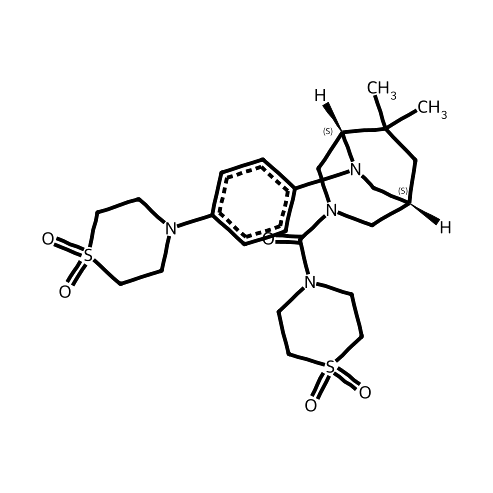 CC1(C)C[C@@H]2CN(C(=O)N3CCS(=O)(=O)CC3)C[C@H]1N(c1ccc(N3CCS(=O)(=O)CC3)cc1)C2